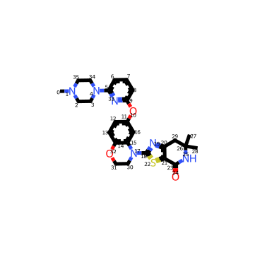 CN1CCN(c2cccc(Oc3ccc4c(c3)N(c3nc5c(s3)C(=O)NC(C)(C)C5)CCO4)n2)CC1